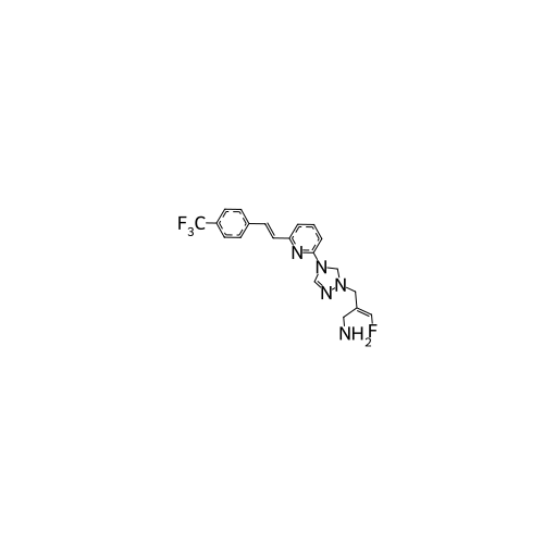 NC/C(=C\F)CN1CN(c2cccc(/C=C/c3ccc(C(F)(F)F)cc3)n2)C=N1